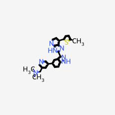 Cc1ccc(-c2ccnc3[nH]c(-c4n[nH]c5ccc(-c6cncc(CN(C)C)c6)cc45)nc23)s1